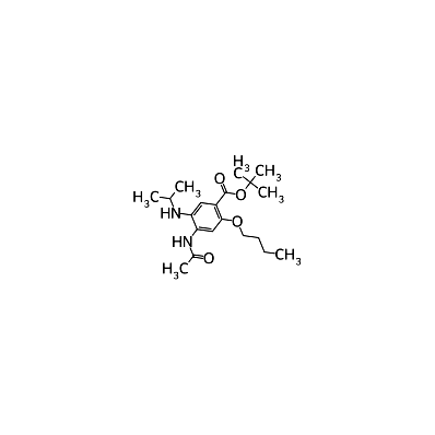 CCCCOc1cc(NC(C)=O)c(NC(C)C)cc1C(=O)OC(C)(C)C